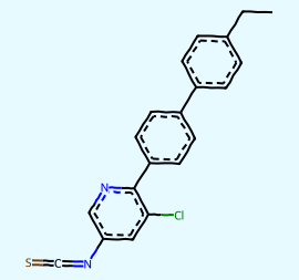 CCc1ccc(-c2ccc(-c3ncc(N=C=S)cc3Cl)cc2)cc1